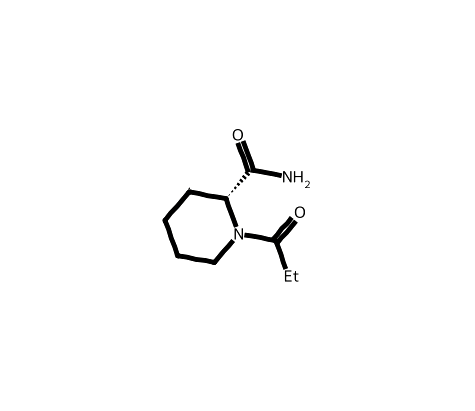 CCC(=O)N1CCC[CH][C@@H]1C(N)=O